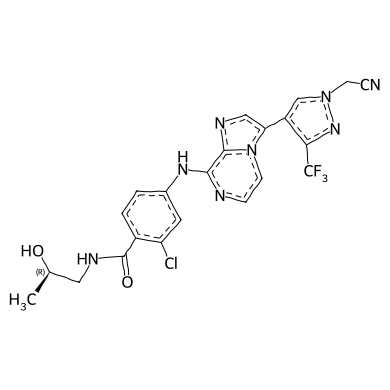 C[C@@H](O)CNC(=O)c1ccc(Nc2nccn3c(-c4cn(CC#N)nc4C(F)(F)F)cnc23)cc1Cl